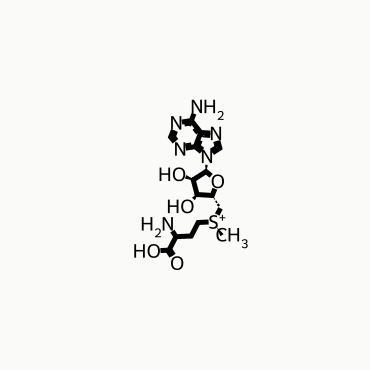 C[S@@+](CCC(N)C(=O)O)C[C@H]1O[C@@H](n2cnc3c(N)ncnc32)[C@H](O)[C@@H]1O